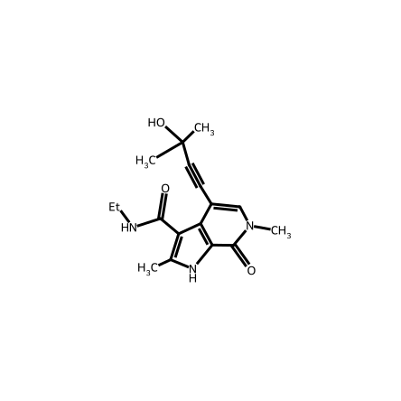 CCNC(=O)c1c(C)[nH]c2c(=O)n(C)cc(C#CC(C)(C)O)c12